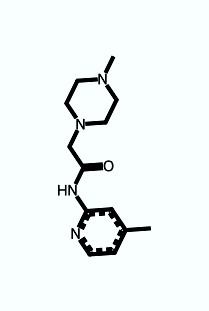 Cc1ccnc(NC(=O)CN2CCN(C)CC2)c1